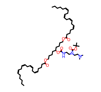 CCCCC/C=C\C/C=C\C/C=C\C/C=C\CCCC(=O)OCCCCC(CCCCOC(=O)CCC/C=C\C/C=C\C/C=C\C/C=C\CCCCC)OC(=O)NCCN(CCN(C)C)C(=O)OC(C)(C)C